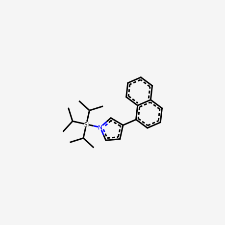 CC(C)[Si](C(C)C)(C(C)C)n1ccc(-c2cccc3ccccc23)c1